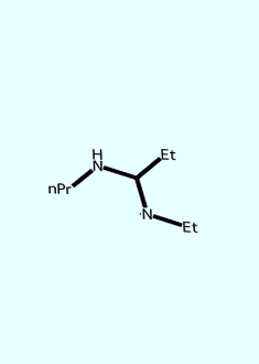 CCCNC(CC)[N]CC